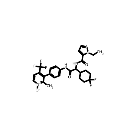 CCn1nccc1C(=O)NC(C(=O)Nc1ccc(-c2c(C(F)(F)F)cc[n+]([O-])c2C)cc1)C1CCC(F)(F)CC1